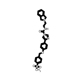 CS(=O)(=O)c1ccc(COc2ccc(-c3cn(C(=O)NCCN4Cc5ccccc5C4)cn3)cc2)cc1